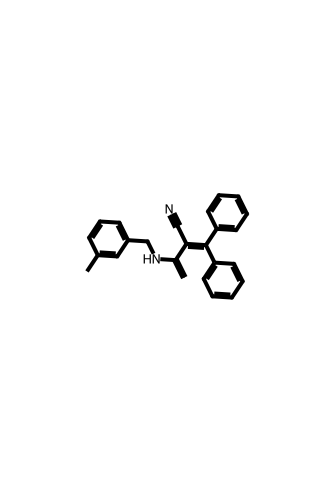 C=C(NCc1cccc(C)c1)C(C#N)=C(c1ccccc1)c1ccccc1